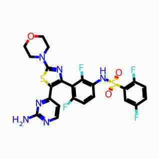 Nc1nccc(-c2sc(N3CCOCC3)nc2-c2c(F)ccc(NS(=O)(=O)c3cc(F)ccc3F)c2F)n1